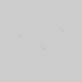 CC1Cc2c(c3ccccc3n2-c2ccc(N(c3ccccc3)c3ccccc3)cc2)C2=C1c1cccc3cccc(c13)-c1ccccc12